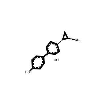 Cl.N[C@@H]1C[C@H]1c1ccc(-c2ccc(O)cc2)cc1